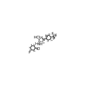 Cl.Fc1ccc(CNC2CCN(c3ccc(C(F)(F)F)cn3)C2)c(Cl)c1